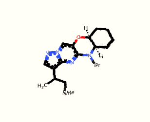 CNCC(C)c1cnn2cc3c(nc12)N(C(C)C)[C@@H]1CCCC[C@@H]1O3